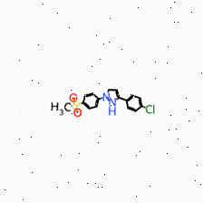 CS(=O)(=O)c1ccc(N2CC=C(c3ccc(Cl)cc3)N2)cc1